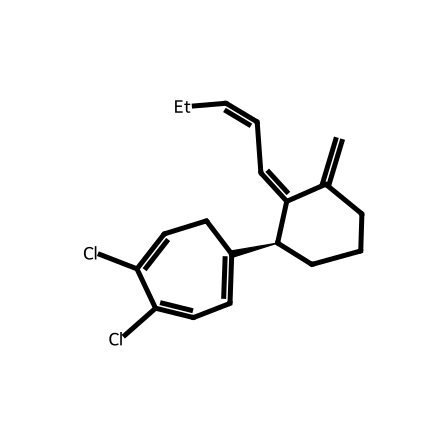 C=C1CCC[C@@H](C2=CC=C(Cl)C(Cl)=CC2)/C1=C/C=C\CC